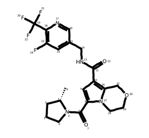 C[C@H]1CCCN1C(=O)c1cc(C(=O)NCc2cnc(C(F)(F)F)c(F)c2)c2n1CCOC2